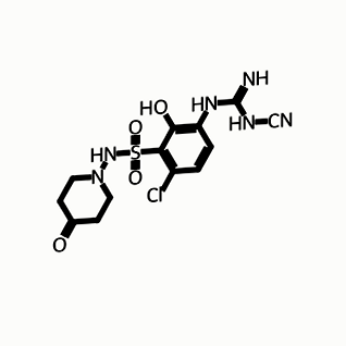 N#CNC(=N)Nc1ccc(Cl)c(S(=O)(=O)NN2CCC(=O)CC2)c1O